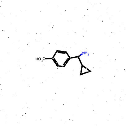 NC(c1ccc(C(=O)O)cc1)C1CC1